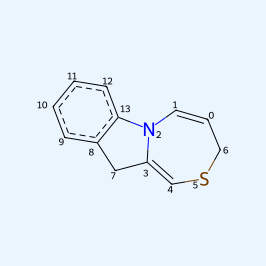 C1=CN2C(=CSC1)Cc1ccccc12